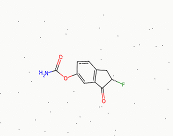 NC(=O)Oc1ccc2c(c1)C(=O)C(F)C2